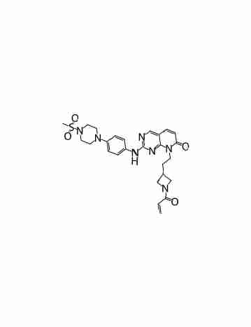 C=CC(=O)N1CC(CCn2c(=O)ccc3cnc(Nc4ccc(N5CCN(S(C)(=O)=O)CC5)cc4)nc32)C1